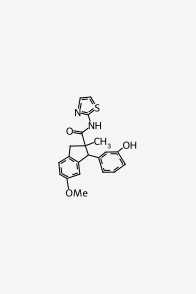 COc1ccc2c(c1)C(c1cccc(O)c1)C(C)(C(=O)Nc1nccs1)C2